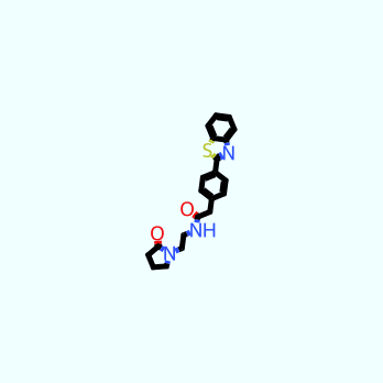 O=C(Cc1ccc(-c2nc3ccccc3s2)cc1)NCCN1CCCC1=O